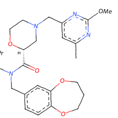 COc1nc(C)cc(CN2CCO[C@@H](C(=O)N(Cc3ccc4c(c3)OCCCO4)CC(C)C)C2)n1